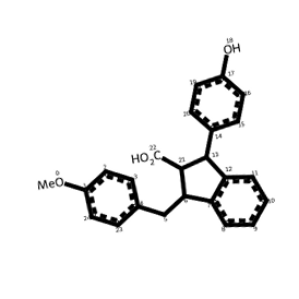 COc1ccc(CC2c3ccccc3C(c3ccc(O)cc3)C2C(=O)O)cc1